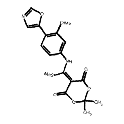 COc1cc(NC(SC)=C2C(=O)OC(C)(C)OC2=O)ccc1-c1cnco1